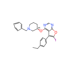 CCc1ccc(-c2c(I)oc3ncnc(O[C@@H]4CCCN(Cc5ccccc5)C4)c23)cc1